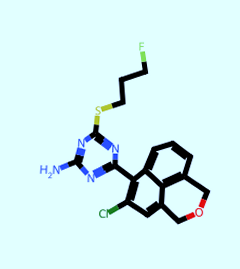 Nc1nc(SCCCF)nc(-c2c(Cl)cc3c4c(cccc24)COC3)n1